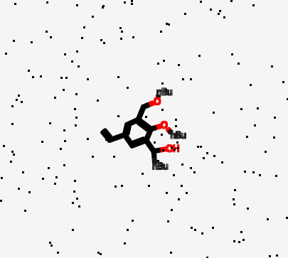 C=Cc1cc(COCCCC)c(OCCCC)c(C(O)CCCC)c1